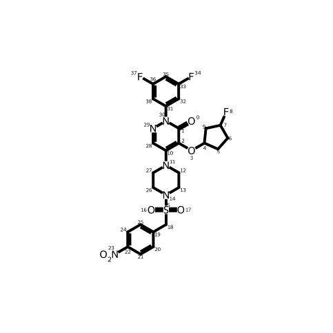 O=c1c(OC2CCC(F)C2)c(N2CCN(S(=O)(=O)Cc3ccc([N+](=O)[O-])cc3)CC2)cnn1-c1cc(F)cc(F)c1